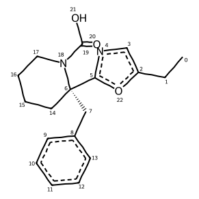 CCc1cnc([C@@]2(Cc3ccccc3)CCCCN2C(=O)O)o1